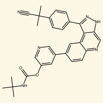 CC(C)(C)NC(=O)Oc1cncc(-c2ccc3ncc4[nH]nc(-c5ccc(C(C)(C)C#N)cc5)c4c3c2)c1